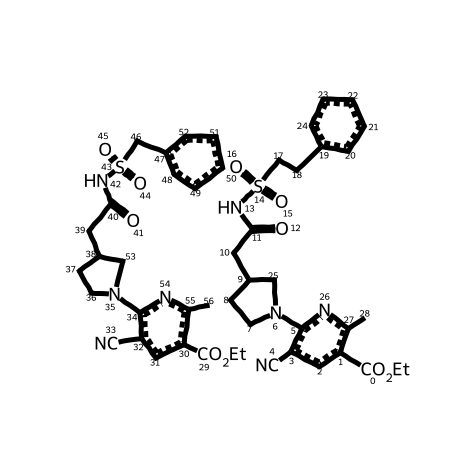 CCOC(=O)c1cc(C#N)c(N2CCC(CC(=O)NS(=O)(=O)CCc3ccccc3)C2)nc1C.CCOC(=O)c1cc(C#N)c(N2CCC(CC(=O)NS(=O)(=O)Cc3ccccc3)C2)nc1C